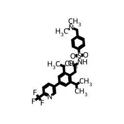 CC(C)c1cc(-c2ccc(C(F)(F)F)nc2)cc(C(C)C)c1CC(=O)NS(=O)(=O)c1ccc(CN(C)C)cc1